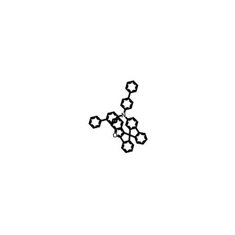 c1ccc(-c2ccc(N(c3ccc(-c4ccccc4)cc3)c3ccc4c(c3)C3(c5ccccc5-4)c4ccccc4-c4oc5ccccc5c43)cc2)cc1